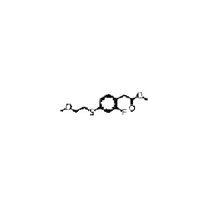 COCCSc1ccc(CC(=O)OC)c(F)c1